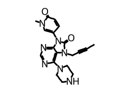 CC#CCn1c(=O)n(-c2ccc(=O)n(C)c2)c2ncnc(N3CCNCC3)c21